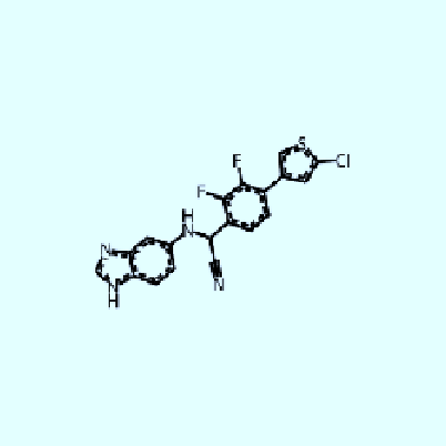 N#CC(Nc1ccc2[nH]cnc2c1)c1ccc(-c2csc(Cl)c2)c(F)c1F